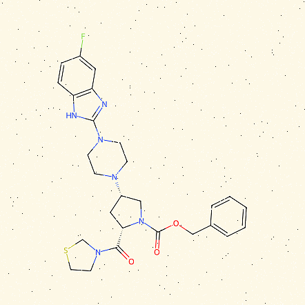 O=C([C@@H]1C[C@H](N2CCN(c3nc4cc(F)ccc4[nH]3)CC2)CN1C(=O)OCc1ccccc1)N1CCSC1